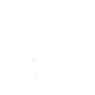 C[C@@H]1CN(C(=O)OC(C)(C)C)C[C@H](CN=[N+]=[N-])O1